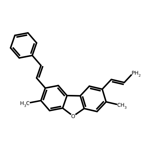 Cc1cc2oc3cc(C)c(/C=C/c4ccccc4)cc3c2cc1/C=C/P